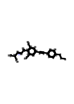 CCCc1ccc(C#Cc2cc(F)c(O/C=C/C(F)F)c(F)c2)cc1